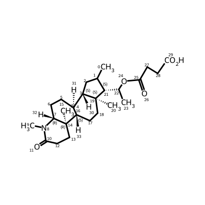 CC1C[C@H]2[C@@H]3CC[C@H]4N(C)C(=O)CC[C@]4(C)[C@H]3CC[C@]2(C)[C@H]1C(C)OC(=O)CCC(=O)O